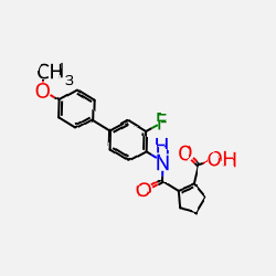 COc1ccc(-c2ccc(NC(=O)C3=C(C(=O)O)CCC3)c(F)c2)cc1